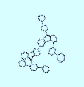 c1ccc(-c2ccc(-n3c4ccc(-c5ccc6c(c5)c5ccccc5n6-c5cc(-c6ccccc6)ccc5-c5ccccc5)cc4c4c(-c5cccc(-c6ccccc6)c5)cccc43)cc2)cc1